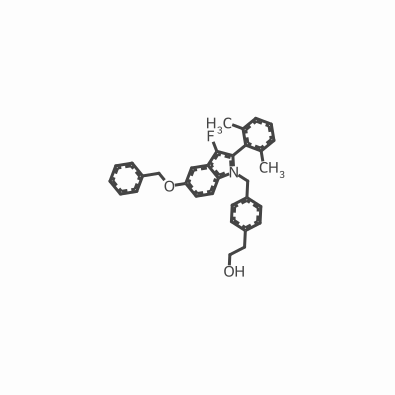 Cc1cccc(C)c1-c1c(F)c2cc(OCc3ccccc3)ccc2n1Cc1ccc(CCO)cc1